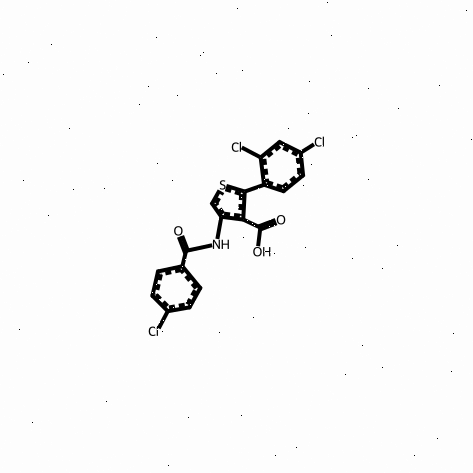 O=C(Nc1csc(-c2ccc(Cl)cc2Cl)c1C(=O)O)c1ccc(Cl)cc1